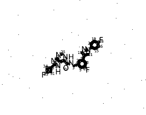 O=C(NCc1cc(F)cc(-c2cnn(-c3ccc(F)cc3)c2)c1)c1ncnc2nc(C34CC(F)(C3)C4)[nH]c12